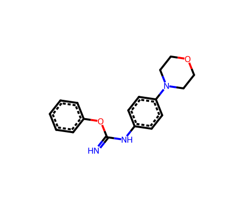 N=C(Nc1ccc(N2CCOCC2)cc1)Oc1ccccc1